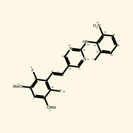 COc1cc(OC)c(F)c(/C=C/c2cnc(Nc3c(C)cccc3[N+](=O)[O-])nc2)c1F